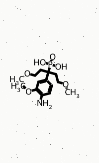 COCCC(CCOC)(c1ccc(N)c(OC)c1)P(=O)(O)O